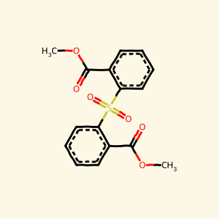 COC(=O)c1ccccc1S(=O)(=O)c1ccccc1C(=O)OC